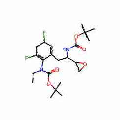 CCN(C(=O)OC(C)(C)C)C1=C(F)CC(F)C=C1CC(NC(=O)OC(C)(C)C)C1CO1